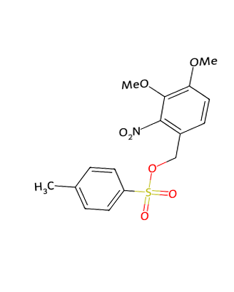 COc1ccc(COS(=O)(=O)c2ccc(C)cc2)c([N+](=O)[O-])c1OC